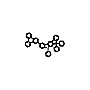 c1ccc(-n2c3ccc(-c4ccc5c6ccccc6c6ccccc6c5c4)cc3c3cc4c(cc32)C(c2ccccc2)(c2ccccc2)c2ccccc2-4)cc1